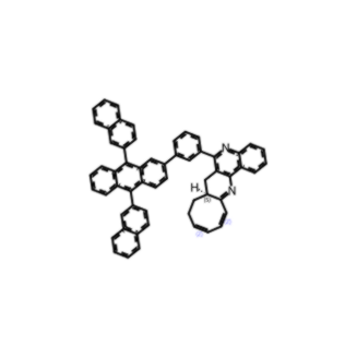 C1=C\CC[C@H]2Cc3c(-c4cccc(-c5ccc6c(-c7ccc8ccccc8c7)c7ccccc7c(-c7ccc8ccccc8c7)c6c5)c4)nc4ccccc4c3N=C2\C=C/1